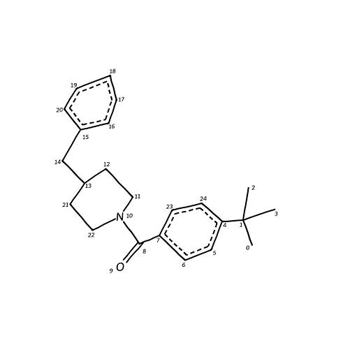 CC(C)(C)c1ccc(C(=O)N2CCC(Cc3ccccc3)CC2)cc1